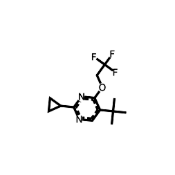 CC(C)(C)c1cnc(C2CC2)nc1OCC(F)(F)F